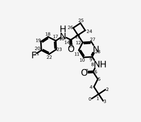 CC(C)(C)CCC(=O)Nc1ccc(C2(C(=O)Nc3ccc(F)cc3)CCC2)cn1